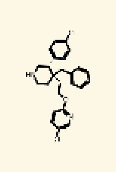 Clc1ccc([C@H]2CNCC[C@]2(CCOc2ccc(Cl)cn2)Cc2ccccc2)cc1